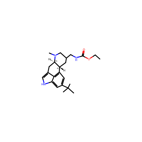 CCOC(=O)NCC1C[C@@H]2c3cc(C(C)(C)C)cc4[nH]cc(c34)C[C@H]2N(C)C1